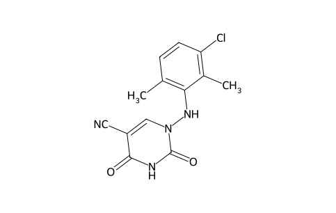 Cc1ccc(Cl)c(C)c1Nn1cc(C#N)c(=O)[nH]c1=O